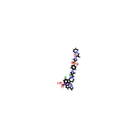 C=C(CN1CCCCC1)C(=O)N1CC(S(=O)(=O)c2ccc(N3CC(F)(CN4CCC([C@@](CN5CCC5)(c5cccc(F)c5)[C@H]5CCC[C@@H]5NC(=O)O)CC4)C3)cc2)C1